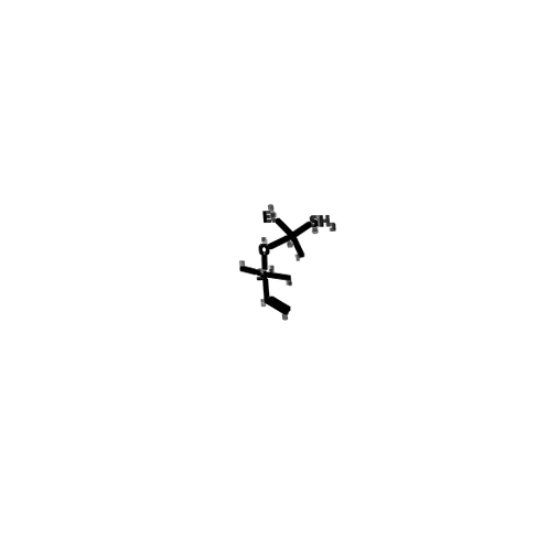 C=C[Si](C)(C)OC(C)([SiH3])CC